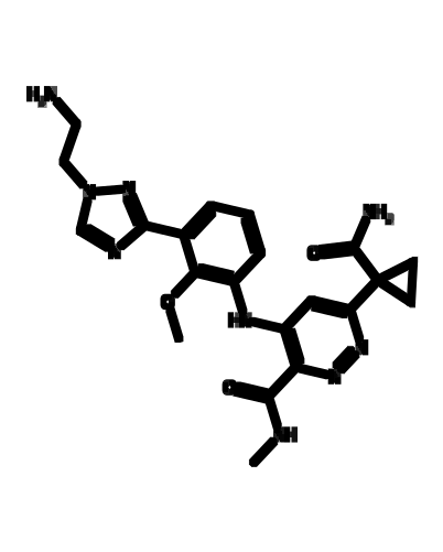 CNC(=O)c1nnc(C2(C(N)=O)CC2)cc1Nc1cccc(-c2ncn(CCN)n2)c1OC